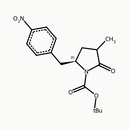 CC1C[C@H](Cc2ccc([N+](=O)[O-])cc2)N(C(=O)OC(C)(C)C)C1=O